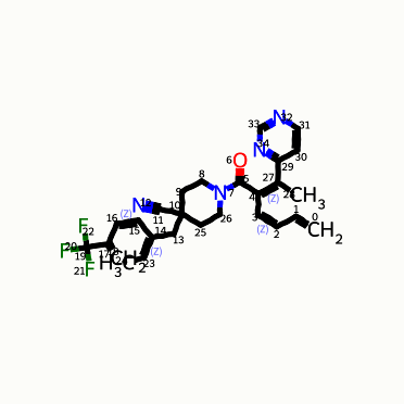 C=C/C=C\C(C(=O)N1CCC(C#N)(CC(/C=C\C(=C)C(F)(F)F)=C/C)CC1)=C(/C)c1ccncn1